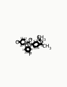 Cc1nn(C)c2cc(NC(=O)N3C=CC(=O)C[C@H]3c3ccc(F)cc3)ccc12